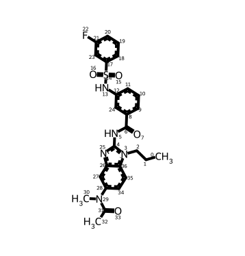 CCCn1c(NC(=O)c2cccc(NS(=O)(=O)c3cccc(F)c3)c2)nc2cc(N(C)C(C)=O)ccc21